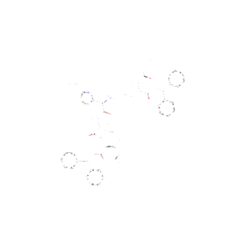 C=CC1=C(C(=O)OC(c2ccccc2)c2ccccc2)N2C(=O)C(NC(=O)/C(=N\OCCC(NC(=O)OC(C)(C)C)C(=O)OC(c3ccccc3)c3ccccc3)c3csc(N)n3)[C@H]2SC1